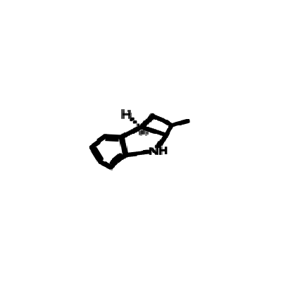 CC1C[C@@H]2c3ccccc3NC12